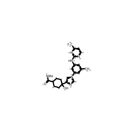 CNC(=O)C1CCC(O)(c2cn(-c3cc(C)cc(Nc4nccc(C(F)(F)F)n4)c3)cn2)CC1